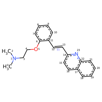 CN(C)CCOc1ccccc1/C=C/c1ccc2ccccc2n1